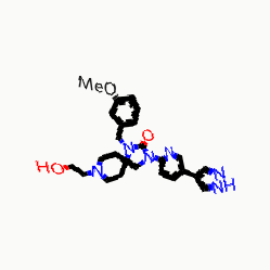 COc1cccc(CN2C(=O)N(c3ccc(-c4cn[nH]c4)cn3)CC23CCN(CCO)CC3)c1